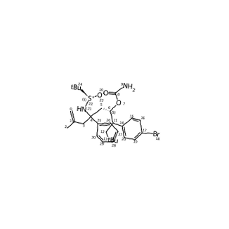 C=C(C)CC(C[C@H](OC(N)=O)C(CC(C)(C)C)c1ccc(Br)cc1)(N[S@+]([O-])C(C)(C)C)c1ccccc1